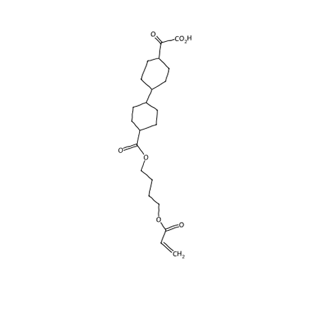 C=CC(=O)OCCCCOC(=O)C1CCC(C2CCC(C(=O)C(=O)O)CC2)CC1